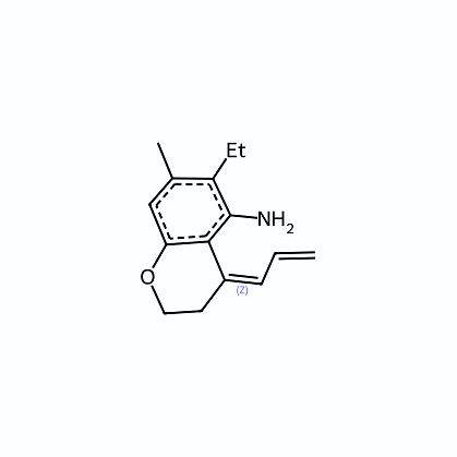 C=C/C=C1/CCOc2cc(C)c(CC)c(N)c21